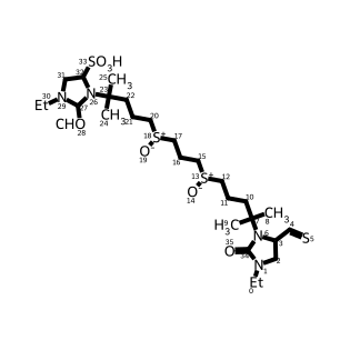 CCN1CC(C=S)N(C(C)(C)CCC[S+]([O-])CCC[S+]([O-])CCCC(C)(C)N2C(C=O)N(CC)CC2S(=O)(=O)O)C1=O